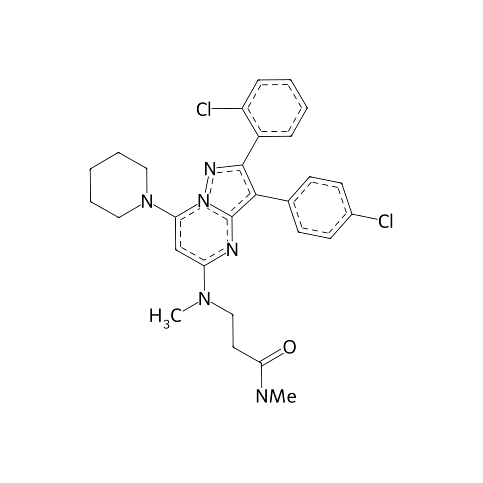 CNC(=O)CCN(C)c1cc(N2CCCCC2)n2nc(-c3ccccc3Cl)c(-c3ccc(Cl)cc3)c2n1